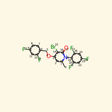 Cc1cc(OCc2ccc(F)cc2F)c(Br)c(=O)n1-c1c(F)cc(F)cc1F